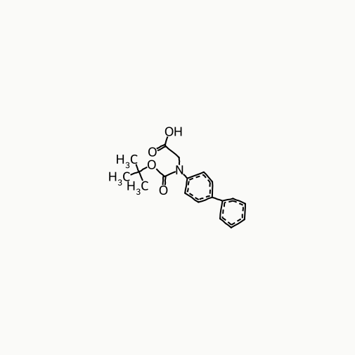 CC(C)(C)OC(=O)N(CC(=O)O)c1ccc(-c2ccccc2)cc1